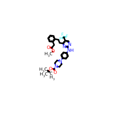 COC(=O)Cc1ccccc1CCc1nc(Nc2ccc(N3CCN(C(=O)OC(C)(C)C)CC3)cc2)ncc1C(F)(F)F